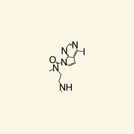 CNCCN(C)C(=O)n1ccc2c(I)ncnc21